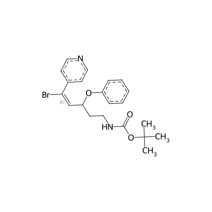 CC(C)(C)OC(=O)NCCC(/C=C(/Br)c1ccncc1)Oc1ccccc1